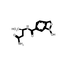 NC(=O)C[C@H](NC(=O)c1ccc2c(c1)B(O)OC2)C(=O)O